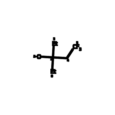 CCC([O])(CC)CC(F)(F)F